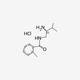 Cc1ccccc1C(=O)NC[C@@H](N)C(C)C.Cl